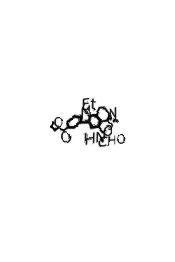 CCn1c2ccc(C(=O)c3ccco3)cc2c2cc(C(=O)NC=O)c3c(c21)CCc1nc(C)sc1-3